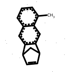 Cc1cccc2cc3c(cc12)C1C=CC3C1